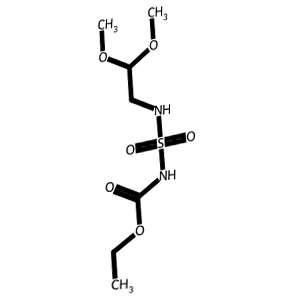 CCOC(=O)NS(=O)(=O)NCC(OC)OC